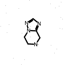 c1nc2n(n1)CC[N]C2